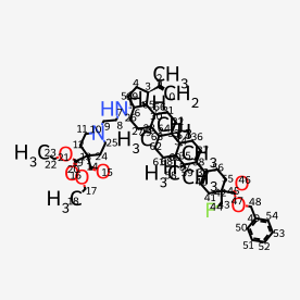 C=C(C)[C@@H]1CC[C@]2(NCCN3CCC(C(=O)OCC)(C(=O)OCC)CC3)CC[C@]3(C)[C@H](CC[C@@H]4[C@@]5(C)CC=C(C6=CCC(CF)(C(=O)OCc7ccccc7)CC6)C(C)(C)[C@@H]5CC[C@]43C)[C@@H]12